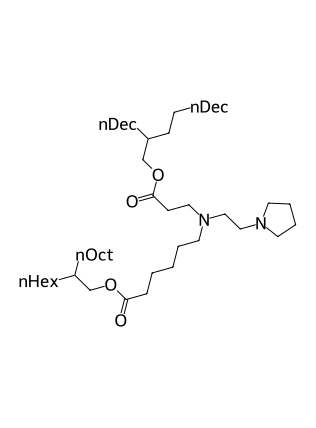 CCCCCCCCCCCCC(CCCCCCCCCC)COC(=O)CCN(CCCCCC(=O)OCC(CCCCCC)CCCCCCCC)CCN1CCCC1